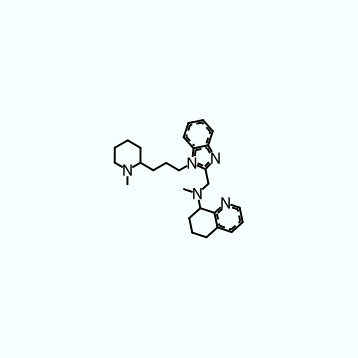 CN1CCCCC1CCCn1c(CN(C)C2CCCc3cccnc32)nc2ccccc21